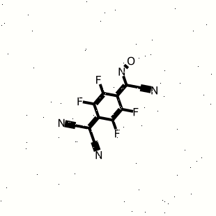 N#CC(C#N)=c1c(F)c(F)c(=C(C#N)N=O)c(F)c1F